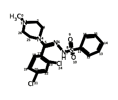 CN1CCN(C(=NNS(=O)(=O)c2ccccc2)c2ccc(Cl)cc2Cl)CC1